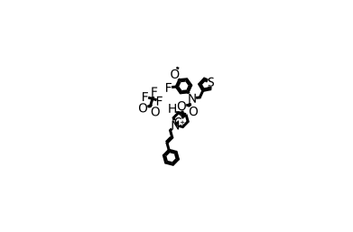 COc1ccc(N(Cc2ccsc2)C(=O)O[C@H]2C[N+]3(C/C=C/c4ccccc4)CCC2CC3)cc1F.O=C([O-])C(F)(F)F